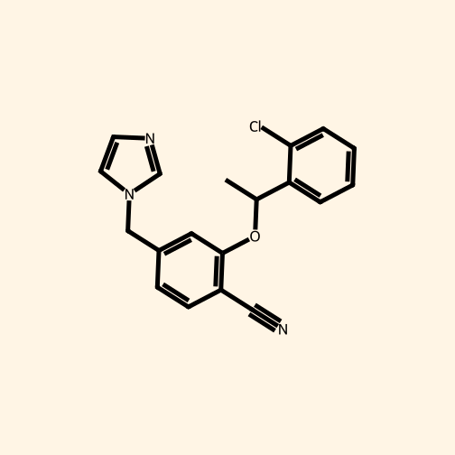 CC(Oc1cc(Cn2ccnc2)ccc1C#N)c1ccccc1Cl